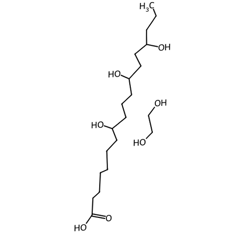 CCCC(O)CCC(O)CCCC(O)CCCCCCC(=O)O.OCCO